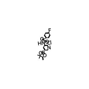 C=C1OB(c2cnc(Cl)c(NS(=O)(=O)c3ccc(F)cc3)c2)OC1(C)C